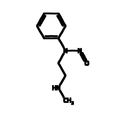 CNCCN(N=O)c1ccccc1